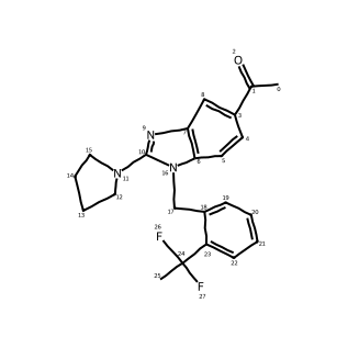 CC(=O)c1ccc2c(c1)nc(N1CCCC1)n2Cc1ccccc1C(C)(F)F